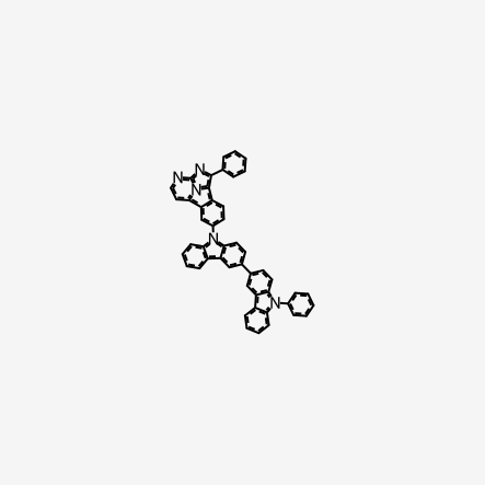 c1ccc(-c2nc3nccc4c5cc(-n6c7ccccc7c7cc(-c8ccc9c(c8)c8ccccc8n9-c8ccccc8)ccc76)ccc5c2n34)cc1